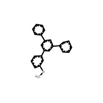 COc1cccc(-c2cc(-c3ccccc3)cc(-c3ccccc3)c2)c1